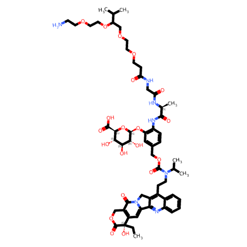 CC[C@@]1(O)C(=O)OCc2c1cc1n(c2=O)Cc2c-1nc1ccccc1c2CCN(C(=O)OCc1ccc(NC(=O)[C@H](C)NC(=O)CNC(=O)CCOCCOCC(OCCOCCN)C(C)C)c(O[C@@H]2O[C@H](C(=O)O)[C@@H](O)[C@H](O)[C@H]2O)c1)C(C)C